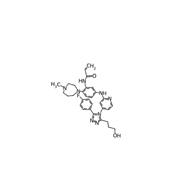 C=CC(=O)Nc1cc(Nc2cc(-n3c(CCCO)nnc3-c3ccc(F)cc3)ccn2)ccc1N1CCCN(C)CC1